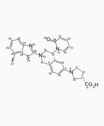 O=C(O)[C@H]1CCN(c2ccc(CN(CCn3ccccc3=O)c3nc4cccc(F)c4s3)cc2)C1